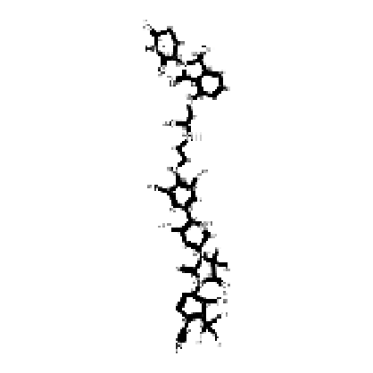 C=C1N(c2ccc(C#N)c(C(F)(F)F)c2F)C(=O)C(C)(C)N1c1cnc(-c2cc(F)c(OCCNC(=O)COc3cccc4c3C(=O)N(C3CCC(=O)NC3=O)C4=O)c(F)c2)c(F)c1